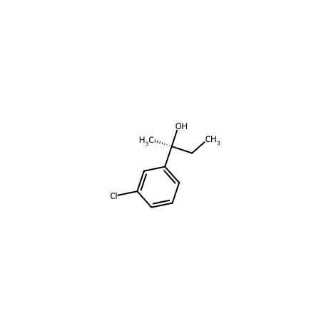 CC[C@](C)(O)c1cccc(Cl)c1